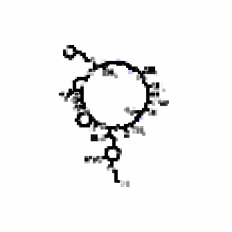 COC1CC(CC(C)C2CC(=O)C(C)/C=C(\C)C(O)C(OC)C(=O)C(C)C[C@H](C)/C=C/C=C/C=C(\C)C(OCCC3CCOC3)CC3CCC(C)C(O)(O3)C(=O)C(=O)N3CCCCC3C(=O)O2)CCC1OCCO